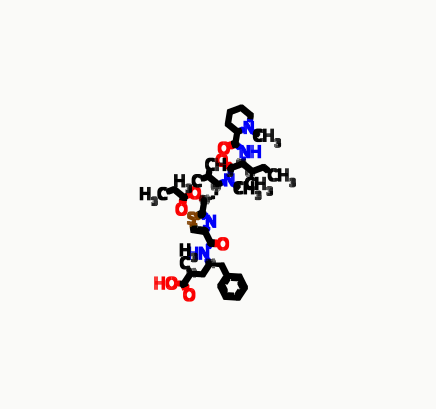 CCC(=O)O[C@H](C[C@H](C(C)C)N(C)C(=O)[C@@H](NC(=O)C1CCCCN1C)[C@@H](C)CC)c1nc(C(=O)N[C@@H](Cc2ccccc2)C[C@H](C)C(=O)O)cs1